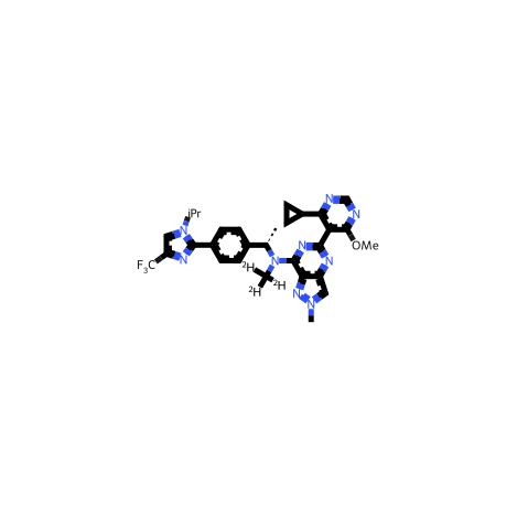 [2H]C([2H])([2H])N(c1nc(-c2c(OC)ncnc2C2CC2)nc2cn(C)nc12)[C@@H](C)c1ccc(-c2nc(C(F)(F)F)cn2C(C)C)cc1